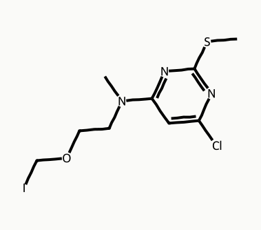 CSc1nc(Cl)cc(N(C)CCOCI)n1